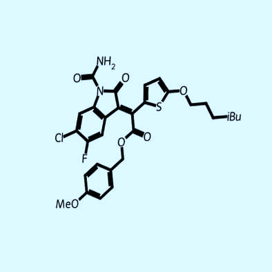 CCC(C)CCCOc1ccc(C(C(=O)OCc2ccc(OC)cc2)=C2C(=O)N(C(N)=O)c3cc(Cl)c(F)cc32)s1